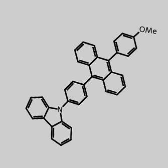 COc1ccc(-c2c3ccccc3c(-c3ccc(-n4c5ccccc5c5ccccc54)cc3)c3ccccc23)cc1